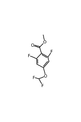 COC(=O)c1c(F)cc(OC(F)F)cc1F